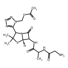 CC(=O)OCn1nnnc1C1N2C(=O)C(NC(=O)C(C)NC(=O)CN)[C@@H]2SC1(C)C